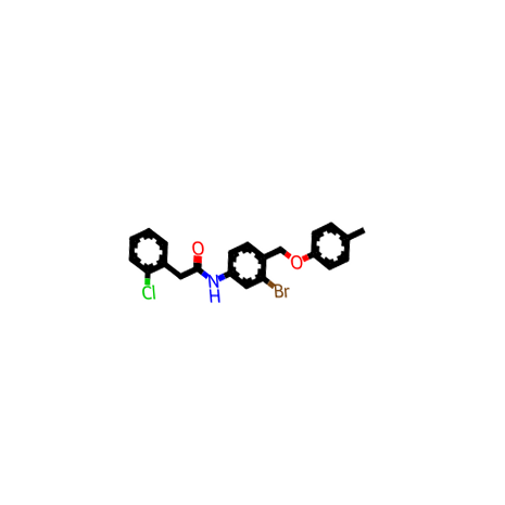 Cc1ccc(OCc2ccc(NC(=O)Cc3ccccc3Cl)cc2Br)cc1